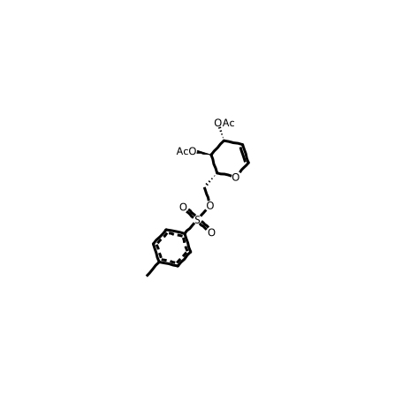 CC(=O)O[C@H]1[C@H](OC(C)=O)C=CO[C@@H]1COS(=O)(=O)c1ccc(C)cc1